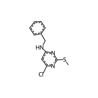 CSc1nc(Cl)cc(NCc2ccccc2)n1